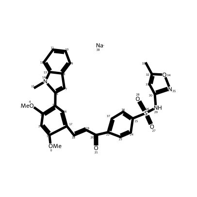 COc1cc(OC)c(-c2cc3ccccc3n2C)cc1C=CC(=O)c1ccc(S(=O)(=O)Nc2cc(C)on2)cc1.[Na]